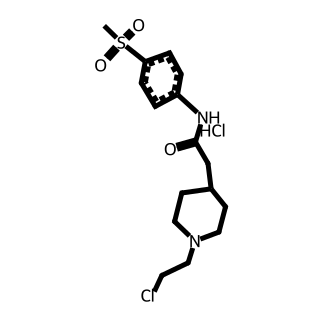 CS(=O)(=O)c1ccc(NC(=O)CC2CCN(CCCl)CC2)cc1.Cl